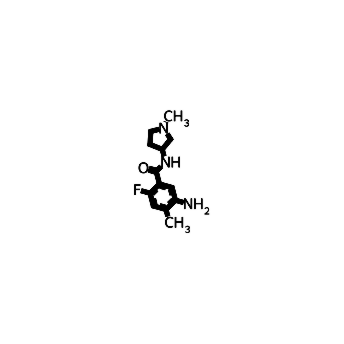 Cc1cc(F)c(C(=O)NC2CCN(C)C2)cc1N